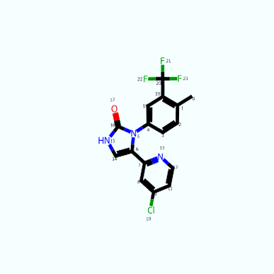 Cc1ccc(-n2c(-c3cc(Cl)ccn3)c[nH]c2=O)cc1C(F)(F)F